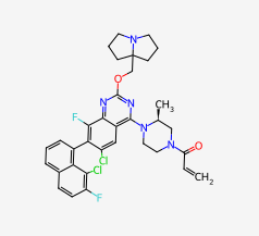 C=CC(=O)N1CCN(c2nc(OCC34CCCN3CCC4)nc3c(F)c(-c4cccc5ccc(F)c(Cl)c45)c(Cl)cc23)[C@@H](C)C1